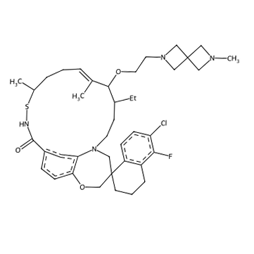 CCC1CCN2CC3(CCCc4c3ccc(Cl)c4F)COc3ccc(cc32)C(=O)NSC(C)CC/C=C(\C)C1OCCN1CC2(CN(C)C2)C1